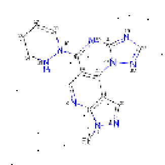 CCn1ncc2c1ncc1c(N3C=CCCN3)nc3ncnn3c12